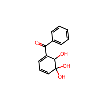 O=C(C1=CC=CC(O)(O)C1O)c1ccccc1